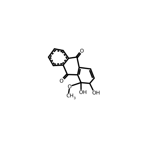 COC1(O)C2=C(C=CC1O)C(=O)c1ccccc1C2=O